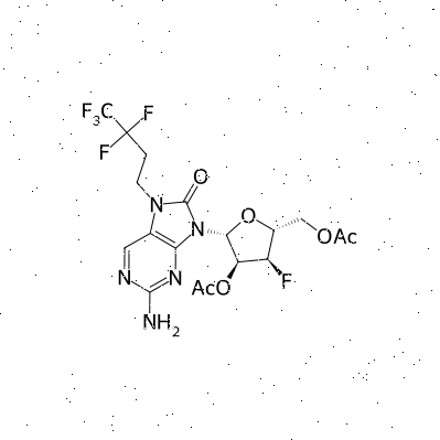 CC(=O)OC[C@H]1O[C@@H](n2c(=O)n(CCC(F)(F)C(F)(F)F)c3cnc(N)nc32)[C@H](OC(C)=O)[C@@H]1F